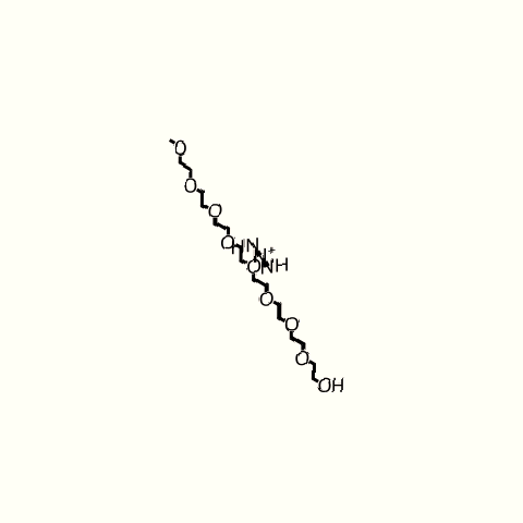 COCCOCCOCCOCCOCCOCCOCCOCCO.N=[N+]=N